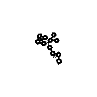 c1ccc(-c2ccc(N(c3ccc(-c4ccc5oc6c(-c7ccccc7)cccc6c5c4)cc3)c3ccc4c(c3)C(c3ccccc3)(c3ccccc3)c3ccccc3-4)cc2-c2ccccc2)cc1